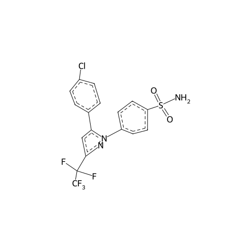 NS(=O)(=O)c1ccc(-n2nc(C(F)(F)C(F)(F)F)cc2-c2ccc(Cl)cc2)cc1